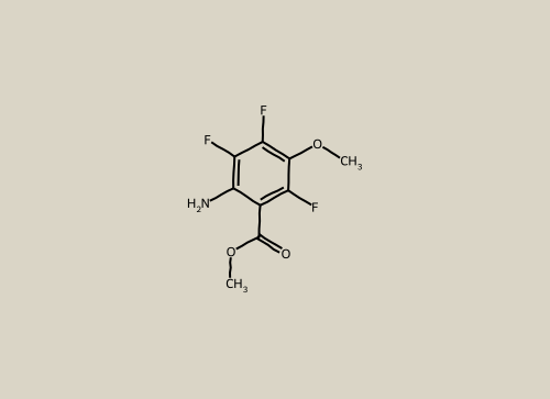 COC(=O)c1c(N)c(F)c(F)c(OC)c1F